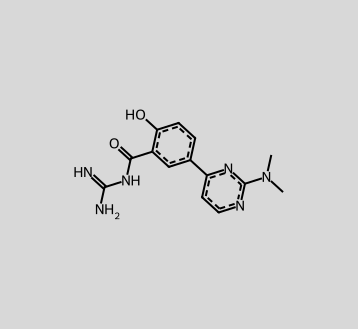 CN(C)c1nccc(-c2ccc(O)c(C(=O)NC(=N)N)c2)n1